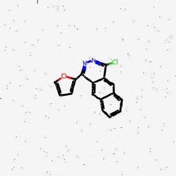 Clc1nnc(-c2ccco2)c2cc3ccccc3cc12